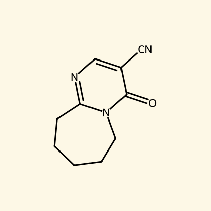 N#Cc1cnc2n(c1=O)CCCCC2